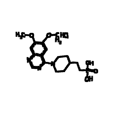 COc1cc2ncnc(N3CCC(CCP(=O)(O)O)CC3)c2cc1OC.Cl